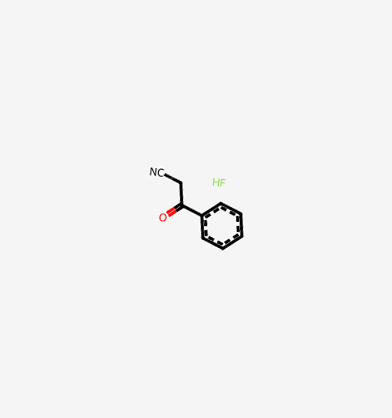 F.N#CCC(=O)c1ccccc1